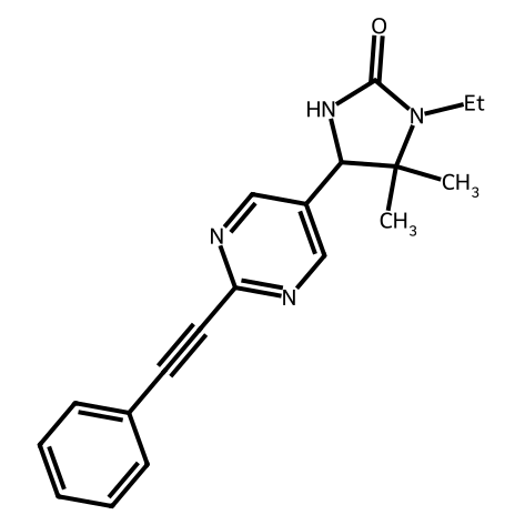 CCN1C(=O)NC(c2cnc(C#Cc3ccccc3)nc2)C1(C)C